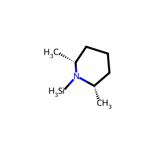 C[C@@H]1CCC[C@H](C)N1[SiH3]